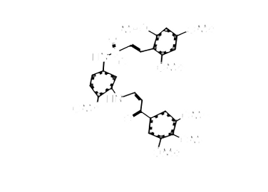 COc1cc(OC)c(/C=C/S(=O)(=O)Nc2ccc(OC)c(N/C=C\C(=O)c3cc(OC)c(OC)c(OC)c3)c2)c(OC)c1